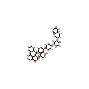 c1ccc(-c2ccccc2N(c2ccc(-c3ccc(-c4cccc(-c5ccc6ccccc6c5)c4)cc3)cc2)c2ccccc2-c2ccccc2)cc1